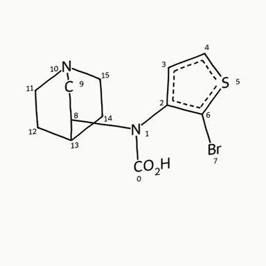 O=C(O)N(c1ccsc1Br)C1CN2CCC1CC2